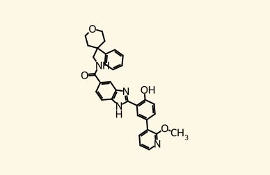 COc1ncccc1-c1ccc(O)c(-c2nc3cc(C(=O)NCC4(c5ccccc5)CCOCC4)ccc3[nH]2)c1